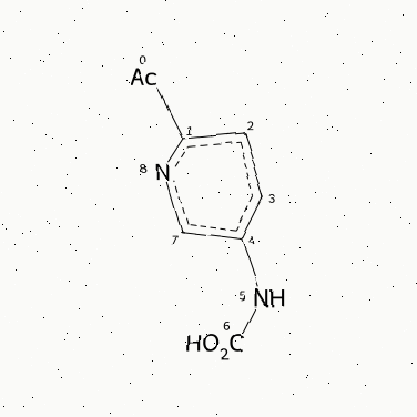 CC(=O)c1ccc(NC(=O)O)cn1